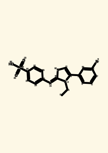 CCn1c(-c2cccc(Br)c2)csc1=Nc1ccc(S(=O)(=O)O)cc1